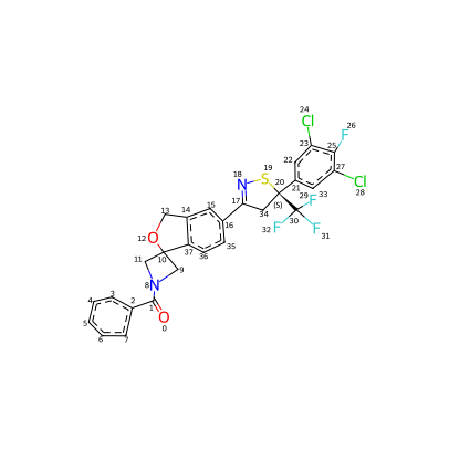 O=C(c1ccccc1)N1CC2(C1)OCc1cc(C3=NS[C@@](c4cc(Cl)c(F)c(Cl)c4)(C(F)(F)F)C3)ccc12